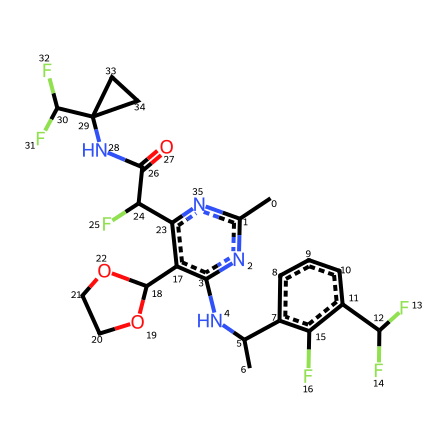 Cc1nc(NC(C)c2cccc(C(F)F)c2F)c(C2OCCO2)c(C(F)C(=O)NC2(C(F)F)CC2)n1